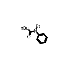 CCCCC(=O)N(CC)c1ccccc1